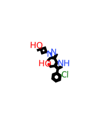 Cc1c(-c2[nH]cc(-c3ccccc3Cl)c2CO)cnn1C1CC(C)(O)C1